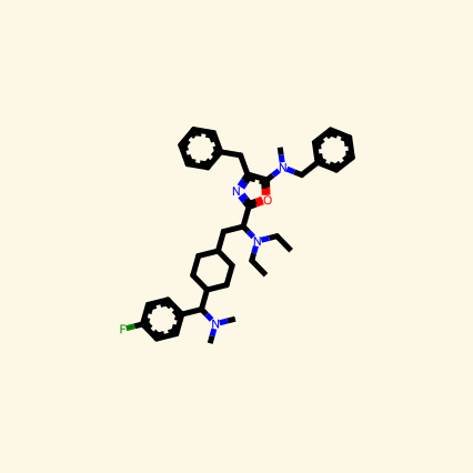 CCN(CC)C(CC1CCC(C(c2ccc(F)cc2)N(C)C)CC1)c1nc(Cc2ccccc2)c(N(C)Cc2ccccc2)o1